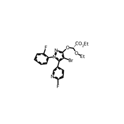 CCOC(=O)[C@H](OCC)Oc1nn(-c2ccccc2F)c(-c2ccc(F)nc2)c1Br